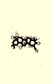 COC(=O)[C@]12CCC(C)(C)CC1C1C(=O)C=C3[C@@]4(C)C=C(C#N)C(=O)C(C)(C)[C@@H]4CC[C@@]3(C)[C@]1(C)CC2